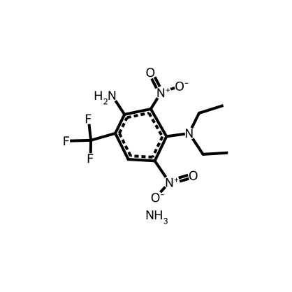 CCN(CC)c1c([N+](=O)[O-])cc(C(F)(F)F)c(N)c1[N+](=O)[O-].N